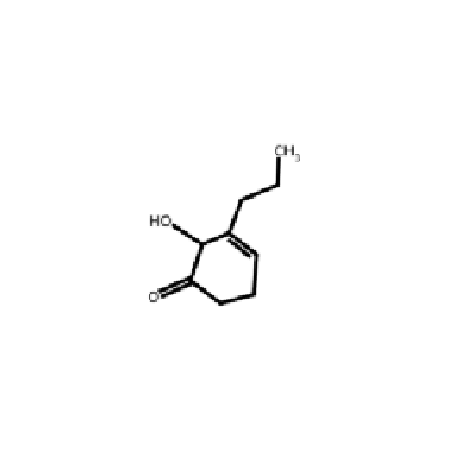 CCCC1=CCCC(=O)C1O